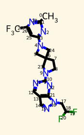 Cc1nc(N2CC3(CCN(c4ncc5cnn(CC(F)F)c5n4)C3)C2)cc(C(F)(F)F)n1